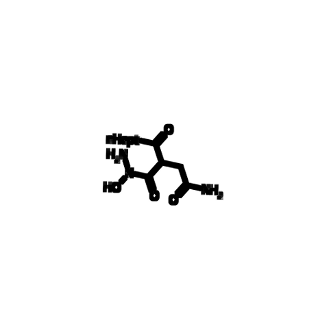 CCCCCCCC(=O)C(CC(N)=O)C(=O)N(N)O